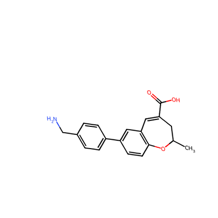 CC1CC(C(=O)O)=Cc2cc(-c3ccc(CN)cc3)ccc2O1